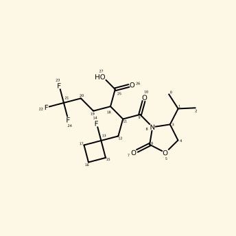 CC(C)C1COC(=O)N1C(=O)C(CC1(F)CCC1)C(CCC(F)(F)F)C(=O)O